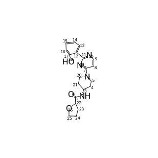 O=C(NC1CCN(c2ccnc(-c3ccccc3O)n2)CC1)C1CCCO1